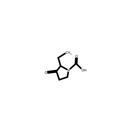 CCC1C(=O)CCN1C(=O)O